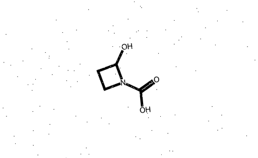 O=C(O)N1CCC1O